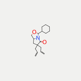 C=CCC1(CC=C)CC2COC(C3CCCCC3)N2C1=O